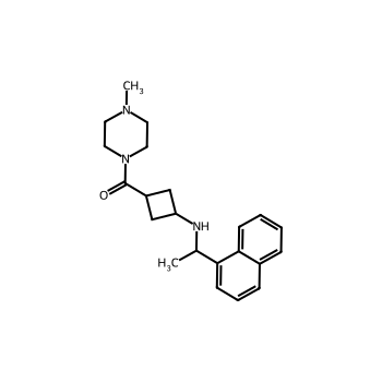 CC(NC1CC(C(=O)N2CCN(C)CC2)C1)c1cccc2ccccc12